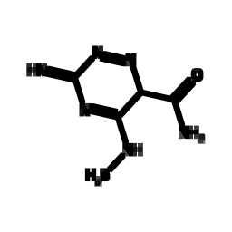 BNC1=NC(=N)N=NC1C(N)=O